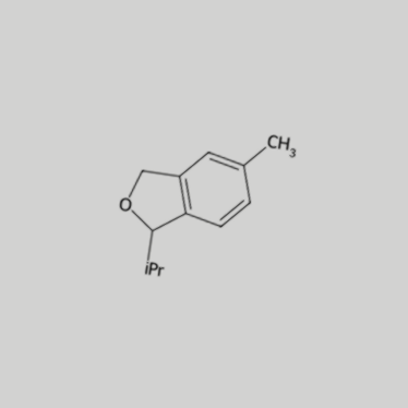 Cc1ccc2c(c1)COC2C(C)C